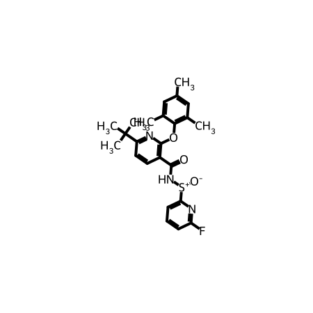 Cc1cc(C)c(Oc2nc(C(C)(C)C)ccc2C(=O)N[S+]([O-])c2cccc(F)n2)c(C)c1